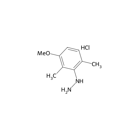 COc1ccc(C)c(NN)c1C.Cl